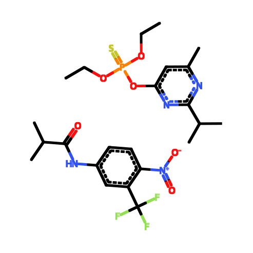 CC(C)C(=O)Nc1ccc([N+](=O)[O-])c(C(F)(F)F)c1.CCOP(=S)(OCC)Oc1cc(C)nc(C(C)C)n1